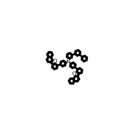 c1ccc(-c2cccc(-c3cccc(N(c4ccc(-c5cccc6c5oc5c7ccccc7ccc65)cc4)c4ccc(-c5cccc6c5oc5c7ccccc7ccc65)cc4)c3)c2)cc1